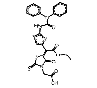 CCOC(=O)/C(=C1/SC(=S)N(CC(=O)O)C1=O)c1csc(NC(=O)N(c2ccccc2)c2ccccc2)n1